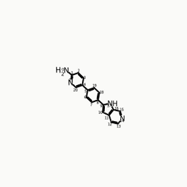 Nc1ccc(-c2ccc(-c3cc4ccncc4[nH]3)cc2)cn1